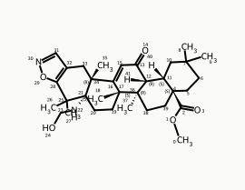 COC(=O)[C@]12CCC(C)(C)C[C@H]1[C@H]1C(=O)C=C3[C@@](C)(CC[C@@]4(NCO)C(C)(C)c5oncc5C[C@]34C)[C@]1(C)CC2